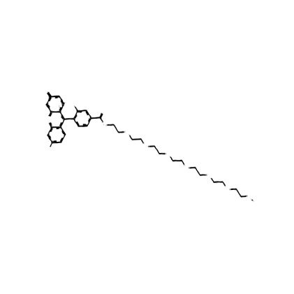 CCOCCOCCOCCOCCOCCOCCOCCNC(=O)c1ccc(-c2c3ccc(=O)cc-3oc3cc(O)ccc23)c(C(=O)O)c1